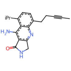 CC#CCCc1ccc(C(C)C)c2c(N)c3c(nc12)CNC3=O